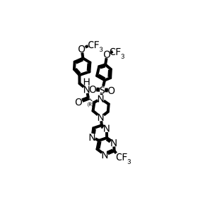 O=C(NCc1ccc(OC(F)(F)F)cc1)[C@H]1CN(c2cnc3cnc(C(F)(F)F)nc3n2)CCN1S(=O)(=O)c1ccc(OC(F)(F)F)cc1